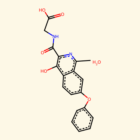 Cc1nc(C(=O)NCC(=O)O)c(O)c2ccc(Oc3ccccc3)cc12.O